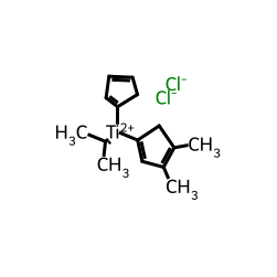 CC1=C(C)C[C]([Ti+2]([C]2=CC=CC2)=[C](C)C)=C1.[Cl-].[Cl-]